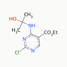 CCOC(=O)c1cnc(Cl)nc1NC(C)(C)O